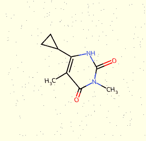 Cc1c(C2CC2)[nH]c(=O)n(C)c1=O